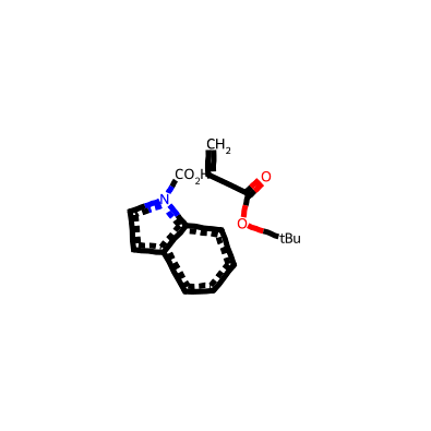 C=CC(=O)OC(C)(C)C.O=C(O)n1ccc2ccccc21